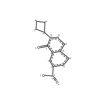 O=c1c2cc([N+](=O)[O-])ccc2cnn1C1CCC1